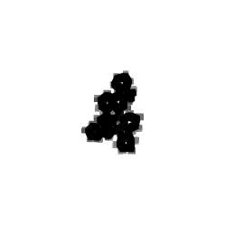 CC1(C)c2ccccc2-c2ccc(N(c3ccccc3-c3ccccc3)c3cccc4c5ccccc5n(-c5ccc6ccccc6c5)c34)cc21